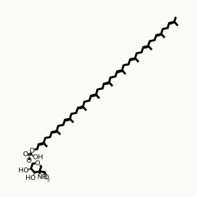 CC(C)=CCC/C(C)=C/CC/C(C)=C/CC/C(C)=C/CC/C(C)=C/CC/C(C)=C/CC/C(C)=C/CC/C(C)=C/CC/C(C)=C/CC/C(C)=C/CC/C(C)=C/COP(=O)(O)O[C@@H]1OCC(N)(C=O)[C@H](O)[C@H]1O